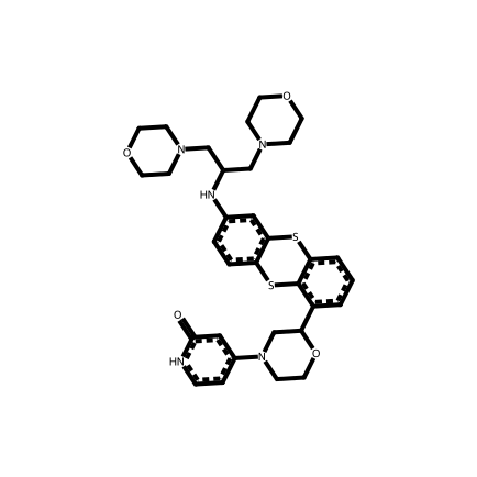 O=c1cc(N2CCOC(c3cccc4c3Sc3ccc(NC(CN5CCOCC5)CN5CCOCC5)cc3S4)C2)cc[nH]1